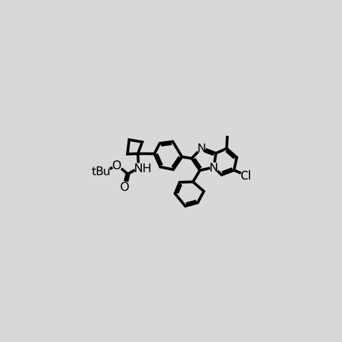 Cc1cc(Cl)cn2c(C3C=CC=CC3)c(-c3ccc(C4(NC(=O)OC(C)(C)C)CCC4)cc3)nc12